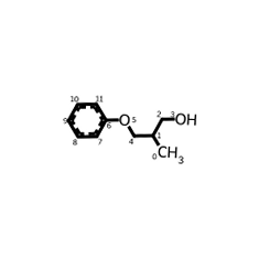 CC(CO)COc1ccccc1